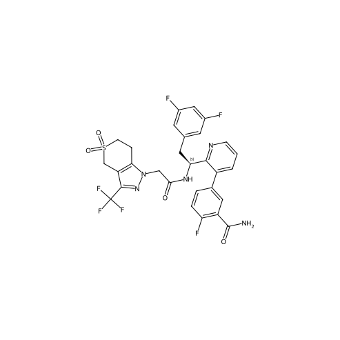 NC(=O)c1cc(-c2cccnc2[C@H](Cc2cc(F)cc(F)c2)NC(=O)Cn2nc(C(F)(F)F)c3c2CCS(=O)(=O)C3)ccc1F